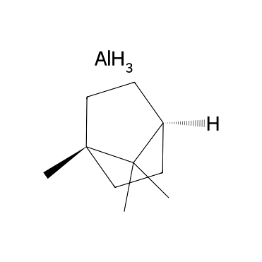 CC1(C)[C@H]2CC[C@@]1(C)CC2.[AlH3]